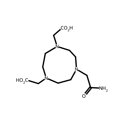 NC(=O)CN1CCN(CC(=O)O)CCN(CC(=O)O)CC1